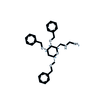 NCNC[C@H]1O[C@H](COCc2ccccc2)C[C@H](OCc2ccccc2)[C@@H]1OCc1ccccc1